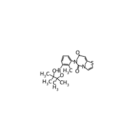 Cc1c(B2OC(C)(C)C(C)(C)O2)cccc1-n1c(=O)cc2sccn2c1=O